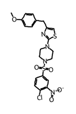 COc1ccc(Cc2csc(N3CCN(S(=O)(=O)c4ccc(Cl)c([N+](=O)[O-])c4)CC3)n2)cc1